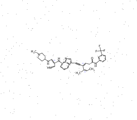 C/C=C(C)\C(C#Cc1cnc2c(N/C(C=N)=C/NC3CCN(C)CC3)cccn12)=C/CC(=O)Nc1cccc(C(F)(F)F)c1